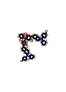 Cc1ccc(N(c2ccccc2)c2ccc3c(ccc4c5cc6c(cc5sc34)B3c4cc5sc7c8ccc(N(c9ccccc9)c9ccc(C)cc9)cc8ccc7c5cc4Oc4cccc(c43)O6)c2)cc1